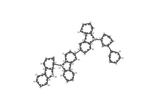 c1ccc(-c2cccc(-n3c4ccccc4c4cc(-c5ccc6c(c5)c5ccccc5n6-c5cccc6c5oc5ccccc56)ccc43)c2)cc1